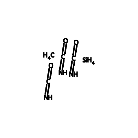 C.N=C=O.N=C=O.N=C=O.[SiH4]